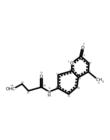 Cc1cc(=O)oc2cc(NC(=O)CCC=O)ccc12